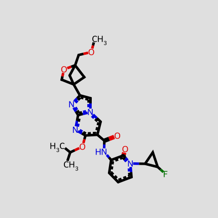 COCC12CC(c3cn4cc(C(=O)Nc5cccn(C6CC6F)c5=O)c(OC(C)C)nc4n3)(CO1)C2